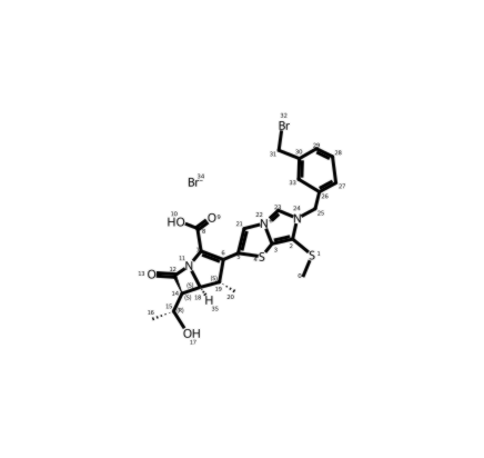 CSc1c2sc(C3=C(C(=O)O)N4C(=O)[C@H]([C@@H](C)O)[C@@H]4[C@H]3C)c[n+]2cn1Cc1cccc(CBr)c1.[Br-]